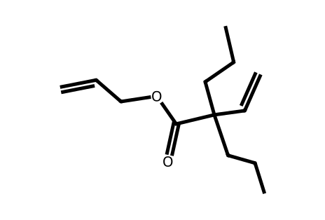 C=CCOC(=O)C(C=C)(CCC)CCC